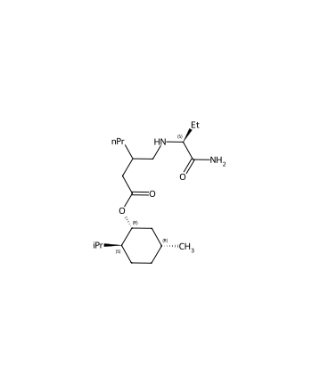 CCCC(CN[C@@H](CC)C(N)=O)CC(=O)O[C@@H]1C[C@H](C)CC[C@H]1C(C)C